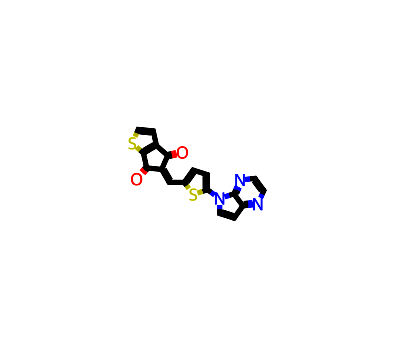 O=C1/C(=C\c2ccc(-n3ccc4nccnc43)s2)C(=O)c2sccc21